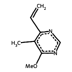 C=Cc1ncnc(OC)c1C